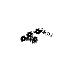 CC(NC(=O)c1ccc(COc2cccc(C(NC(=O)O[C@H]3CN4CCC3CC4)c3ccccc3)c2)cc1)C(=O)O